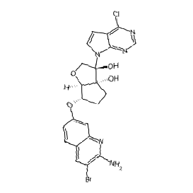 Nc1nc2cc(O[C@H]3CC[C@@]4(O)[C@@H]3OC[C@]4(O)n3ccc4c(Cl)ncnc43)ccc2cc1Br